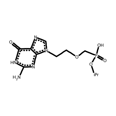 CC(C)OP(=O)(O)COCCn1cnc2c(=O)[nH]c(N)nc21